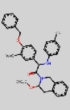 CCOC(=O)OC1Cc2ccccc2CN1C(=O)C(Nc1ccc(C#N)cc1)c1ccc(OCc2ccccc2)c(OC)c1